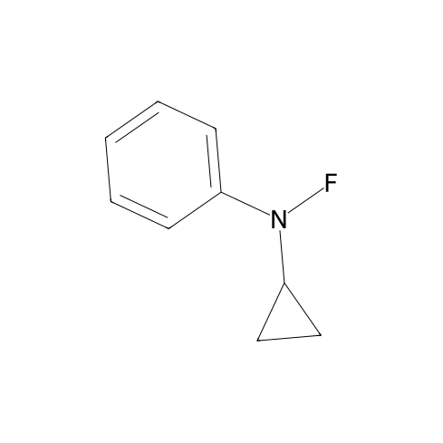 FN(c1ccccc1)C1CC1